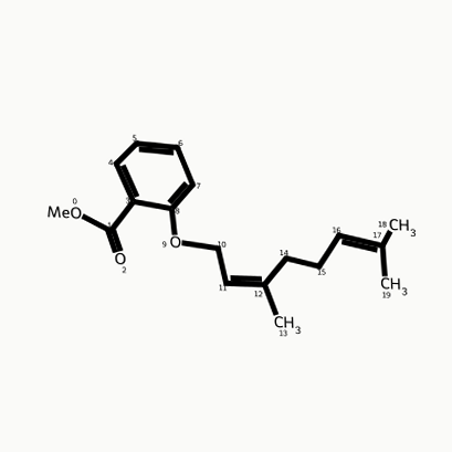 COC(=O)c1ccccc1OCC=C(C)CCC=C(C)C